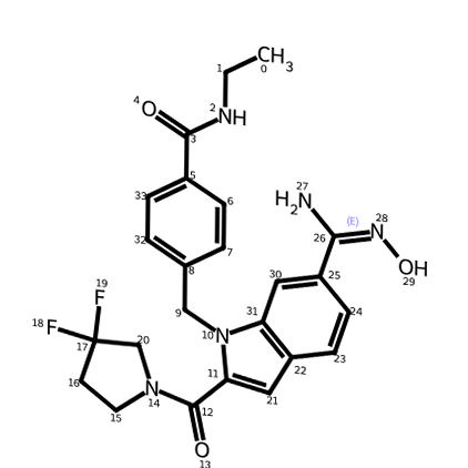 CCNC(=O)c1ccc(Cn2c(C(=O)N3CCC(F)(F)C3)cc3ccc(/C(N)=N\O)cc32)cc1